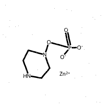 O=P([O-])([O-])ON1CCNCC1.[Zn+2]